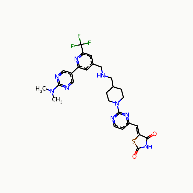 CN(C)c1ncc(-c2cc(CNCC3CCN(c4nccc(/C=C5\SC(=O)NC5=O)n4)CC3)cc(C(F)(F)F)n2)cn1